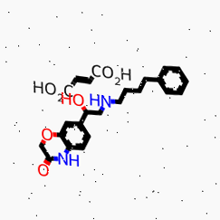 O=C(O)C=CC(=O)O.O=C1COc2cc(C(O)CNCCCCc3ccccc3)ccc2N1